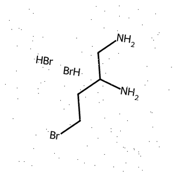 Br.Br.NCC(N)CCBr